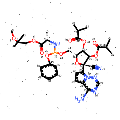 COC(C)(C)COC(=O)[C@H](C)NP(OC[C@H]1O[C@@](C#N)(c2ccc3c(N)ncnn23)[C@H](OC(=O)C(C)C)[C@@H]1OC(=O)C(C)C)Oc1ccccc1